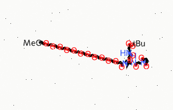 COCCOCCOCCOCCOCCOCCOCCOCCOCCOCCOCCOCCC(=O)N1CC(CNC(=O)CCN2C(=O)C=CC2=O)(OCC(=O)NCCC(=O)OC(C)(C)C)C1